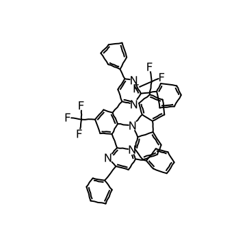 FC(F)(F)c1cc(-c2cc(-c3ccccc3)nc(-c3ccccc3)n2)c(-n2c3ccccc3c3ccc(C(F)(F)F)cc32)c(-c2nc(-c3ccccc3)cc(-c3ccccc3)n2)c1